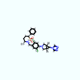 CC[C@H]1CC[C@@H](c2ccccc2)S(=O)(=O)N1Cc1cc(F)c(N2C[C@@H]3C(n4cnnc4)[C@@H]3C2)cc1F